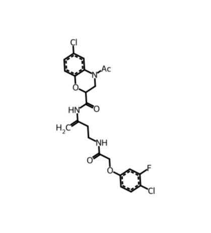 C=C(CCNC(=O)COc1ccc(Cl)c(F)c1)NC(=O)C1CN(C(C)=O)c2cc(Cl)ccc2O1